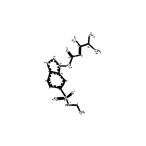 CCNS(=O)(=O)c1ccc2nnn(OC(=O)/C=C(\C)C(C)C)c2c1